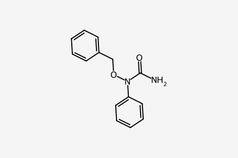 NC(=O)N(OCc1ccccc1)c1ccccc1